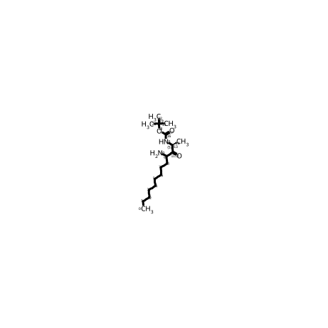 CCCCCCCCCC(N)C(=O)[C@H](C)NC(=O)OC(C)(C)C